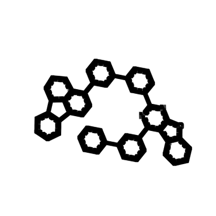 c1ccc(-c2cccc(-c3nc(-c4cccc(-c5cccc(-c6ccc7c8c(cccc68)-c6ccccc6-7)c5)c4)nc4oc5ccccc5c34)c2)cc1